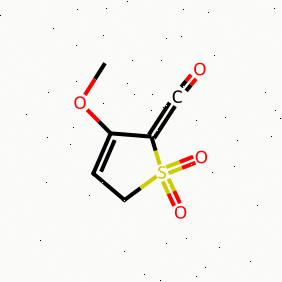 COC1=CCS(=O)(=O)C1=C=O